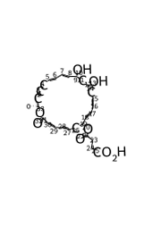 C[C@@H]1CCC/C=C/C=C/[C@H](O)C[C@@H](O)C/C=C\C=C\[C@@H](OC(=O)CCC(=O)O)C/C=C/C=C\C(=O)O1